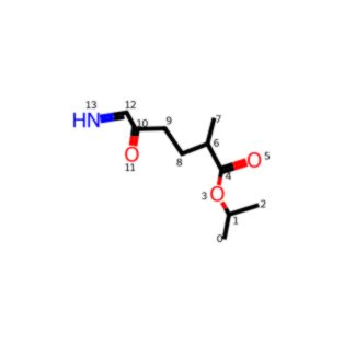 CC(C)OC(=O)C(C)CCC(=O)C=N